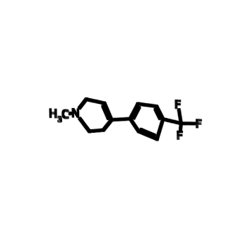 CN1CC=C(c2ccc(C(F)(F)F)cc2)CC1